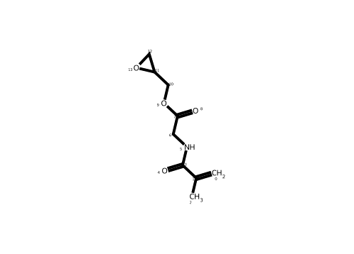 C=C(C)C(=O)NCC(=O)OCC1CO1